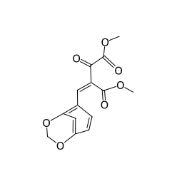 COC(=O)C(=O)C(=Cc1ccc2cc1OCO2)C(=O)OC